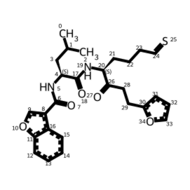 CC(C)C[C@H](NC(=O)c1coc2ccccc12)C(=O)N[C@@H](CCCC=S)C(=O)CCc1ccco1